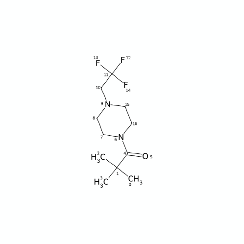 CC(C)(C)C(=O)N1CCN(CC(F)(F)F)CC1